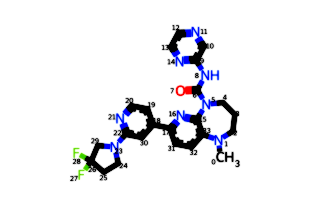 CN1CCCN(C(=O)Nc2cnccn2)c2nc(-c3ccnc(N4CCC(F)(F)C4)c3)ccc21